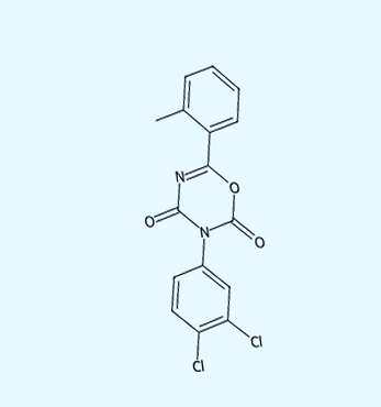 Cc1ccccc1-c1nc(=O)n(-c2ccc(Cl)c(Cl)c2)c(=O)o1